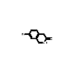 CC(C)c1ccc2c(c1)CNC(=O)C2